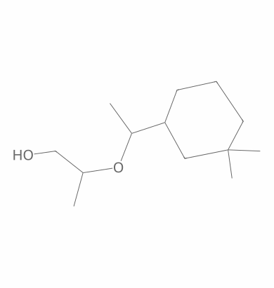 CC(CO)OC(C)C1CCCC(C)(C)C1